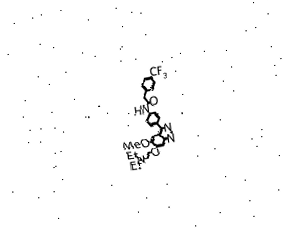 CCN(CC)CCOc1cc2ncnc(-c3ccc(NC(=O)Cc4ccc(C(F)(F)F)cc4)cc3)c2cc1OC